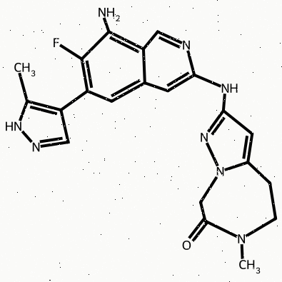 Cc1[nH]ncc1-c1cc2cc(Nc3cc4n(n3)CC(=O)N(C)CC4)ncc2c(N)c1F